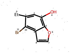 CCc1cc(O)c2occc2c1Br